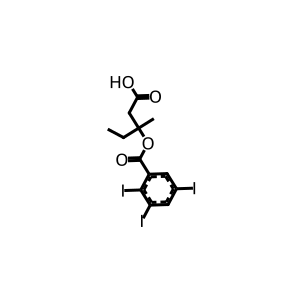 CCC(C)(CC(=O)O)OC(=O)c1cc(I)cc(I)c1I